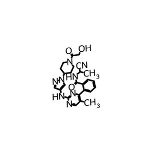 Cc1cnc(Nc2cnn(C3CCN(C(=O)CO)CC3)c2)nc1-c1ccccc1C(=O)NC(C)C#N